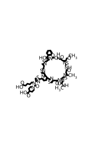 CNC(=O)C[C@@H]1NC(=O)c2csc(n2)-c2ccc(-c3nc(N(CCCCC(=O)O)C(=O)N4CCC(C(=O)O)CC4)cs3)nc2-c2csc(n2)-c2csc(n2)[C@H]([C@@H](O)c2ccccc2)NC(=O)CNC(=O)c2nc(sc2COC)NC(=O)c2nc1sc2C